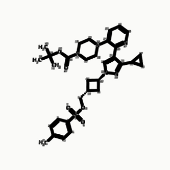 Cc1ccc(S(=O)(=O)OC[C@H]2C[C@H](n3cc(-c4ncccc4N4CCN(C(=O)OC(C)(C)C)CC4)c(C4CC4)n3)C2)cc1